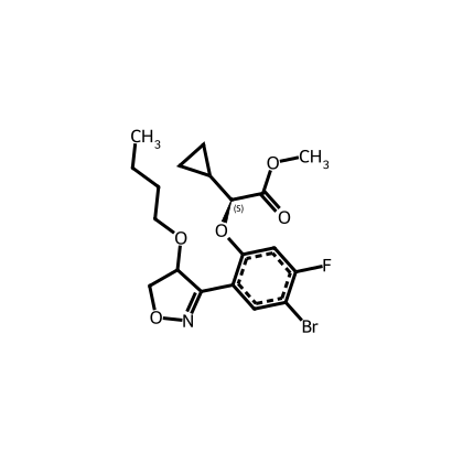 CCCCOC1CON=C1c1cc(Br)c(F)cc1O[C@H](C(=O)OC)C1CC1